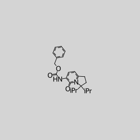 CC(C)C1(C(C)C)CCc2ccc(NC(=O)OCc3ccccc3)c(=O)n21